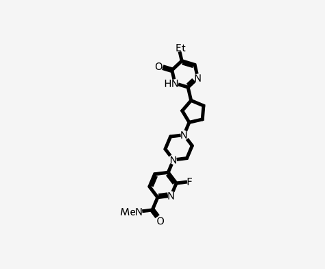 CCc1cnc(C2CCC(N3CCN(c4ccc(C(=O)NC)nc4F)CC3)C2)[nH]c1=O